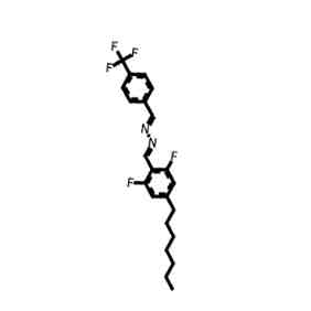 CCCCCCCc1cc(F)c(C=NN=Cc2ccc(C(F)(F)F)cc2)c(F)c1